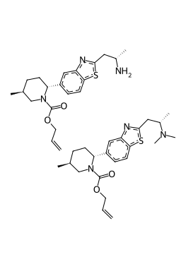 C=CCOC(=O)N1C[C@@H](C)CC[C@@H]1c1ccc2sc(C[C@H](C)N(C)C)nc2c1.C=CCOC(=O)N1C[C@@H](C)CC[C@@H]1c1ccc2sc(C[C@H](C)N)nc2c1